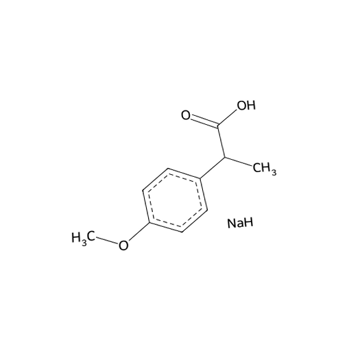 COc1ccc(C(C)C(=O)O)cc1.[NaH]